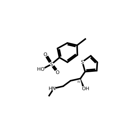 CNCC[C@H](O)c1cccs1.Cc1ccc(S(=O)(=O)O)cc1